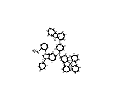 C=Nc1ccccc1N1CN(c2ccccc2)c2ccc(N(c3ccc(-c4cccc5c4oc4ccccc45)cc3)c3ccc4c(c3)-c3ccccc3C43c4ccccc4-c4ccccc43)cc21